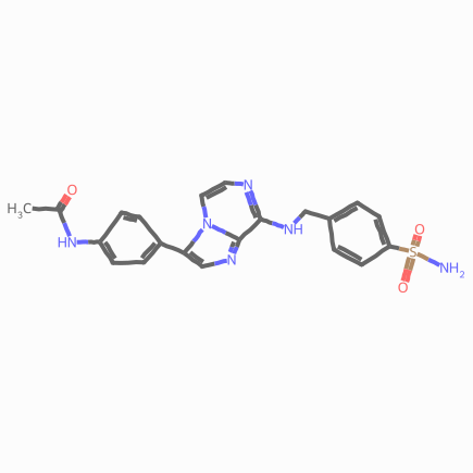 CC(=O)Nc1ccc(-c2cnc3c(NCc4ccc(S(N)(=O)=O)cc4)nccn23)cc1